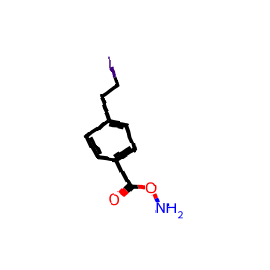 NOC(=O)c1ccc(CCI)cc1